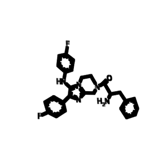 NC(Cc1ccccc1)C(=O)N1CCn2c(nc(-c3ccc(F)cc3)c2Nc2ccc(F)cc2)C1